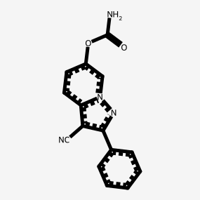 N#Cc1c(-c2ccccc2)nn2cc(OC(N)=O)ccc12